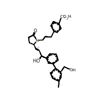 Cc1ccc(-c2cccc(C(O)/C=C/C3CCC(=O)N3CCCc3ccc(C(=O)O)cc3)c2)c(CO)c1